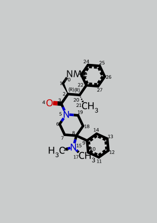 CNC[C@H](C(=O)N1CCC(c2ccccc2)(N(C)C)CC1)[C@@H](C)c1ccccc1